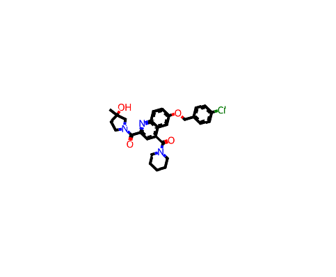 CC1(O)CCN(C(=O)c2cc(C(=O)N3CCCCC3)c3cc(OCc4ccc(Cl)cc4)ccc3n2)C1